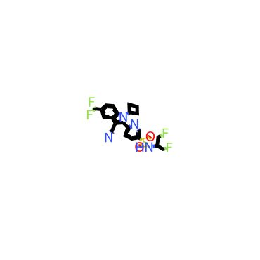 N#Cc1c(-c2ccc(S(=O)(=O)NC(CF)CF)cn2)n(C2CCC2)c2ccc(C(F)F)cc12